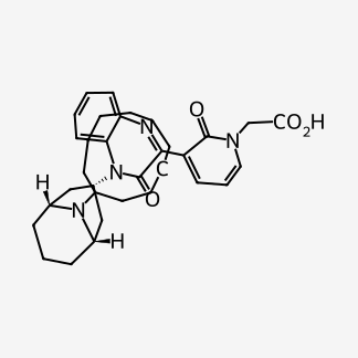 O=C(O)Cn1cccc(-c2nc3ccccc3n([C@H]3C[C@H]4CCC[C@@H](C3)N4C3CCCCCCCCC3)c2=O)c1=O